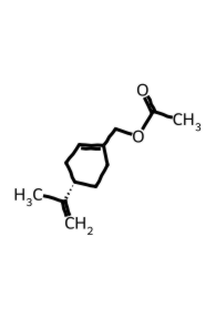 C=C(C)[C@@H]1CC=C(COC(C)=O)CC1